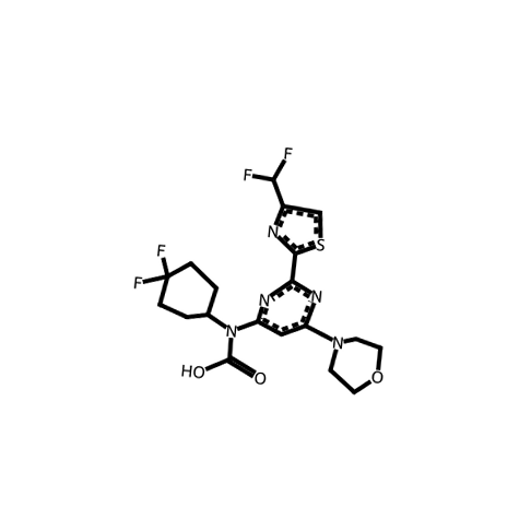 O=C(O)N(c1cc(N2CCOCC2)nc(-c2nc(C(F)F)cs2)n1)C1CCC(F)(F)CC1